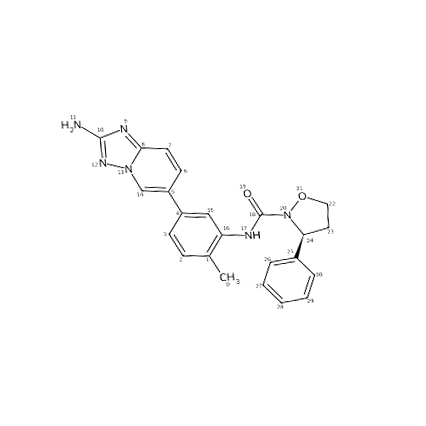 Cc1ccc(-c2ccc3nc(N)nn3c2)cc1NC(=O)N1OCC[C@H]1c1ccccc1